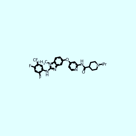 CC(C)N1CCC(C(=O)Nc2cc(Oc3ccc4c(c3)nc(Nc3cc(C(F)(F)F)c(F)cc3F)n4C)ccn2)CC1